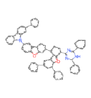 c1ccc(C2=NC(c3ccc(-c4ccc5c(c4)oc4ccc(-n6c7ccccc7c7ccc(-c8ccccc8)cc76)cc45)c4c3oc3c(-c5ccccc5)cc(-c5ccccc5)cc34)=NC(c3ccccc3)N2)cc1